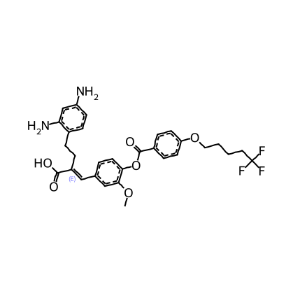 COc1cc(/C=C(\CCc2ccc(N)cc2N)C(=O)O)ccc1OC(=O)c1ccc(OCCCCC(F)(F)F)cc1